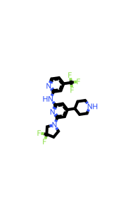 FC1(F)CCN(c2cc(C3CCNCC3)cc(Nc3cc(C(F)(F)F)ccn3)n2)C1